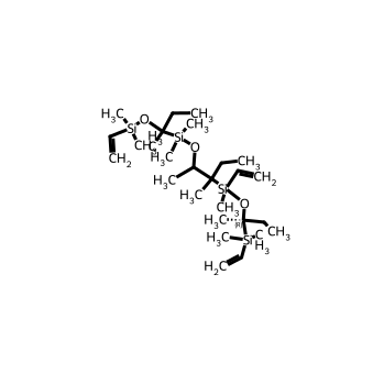 C=C[Si](C)(C)OC(C)(CC)[Si](C)(C)OC(C)C(C)(CC)[Si](C)(C=C)O[C@@](C)(CC)[Si](C)(C)C=C